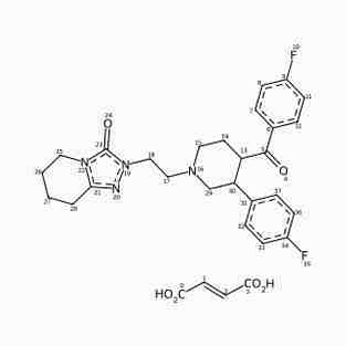 O=C(O)C=CC(=O)O.O=C(c1ccc(F)cc1)C1CCN(CCn2nc3n(c2=O)CCCC3)CC1c1ccc(F)cc1